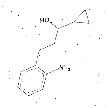 Nc1ccccc1CCC(O)C1CC1